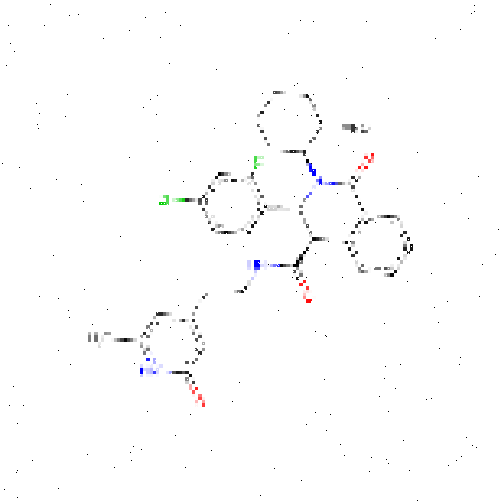 Cc1cc(CCNC(=O)[C@@H]2c3ccccc3C(=O)N([C@H]3CCCC[C@@H]3N=O)[C@H]2c2ccc(Cl)cc2Cl)cc(=O)[nH]1